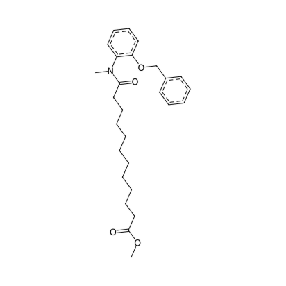 COC(=O)CCCCCCCCCCC(=O)N(C)c1ccccc1OCc1ccccc1